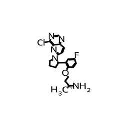 C[C@@H](N)CCOc1ccc(F)cc1C1CCCN1c1ccc2ncnc(Cl)c2n1